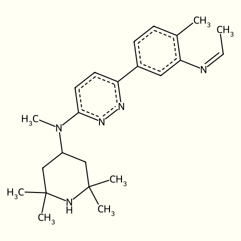 C/C=N\c1cc(-c2ccc(N(C)C3CC(C)(C)NC(C)(C)C3)nn2)ccc1C